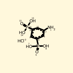 Cl.Nc1cc(P(=O)(O)O)cc(P(=O)(O)O)c1